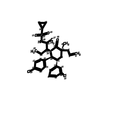 C=CC[C@@]1(C)C[C@H](c2cccc(Cl)c2)[C@@H](c2ccc(Cl)cc2)N(C(CC)C(C)NS(=O)(=O)C2CC2)C1=O